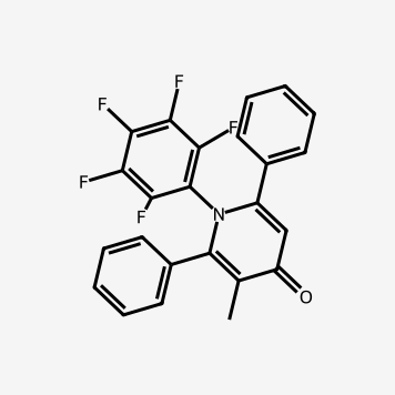 Cc1c(-c2ccccc2)n(-c2c(F)c(F)c(F)c(F)c2F)c(-c2ccccc2)cc1=O